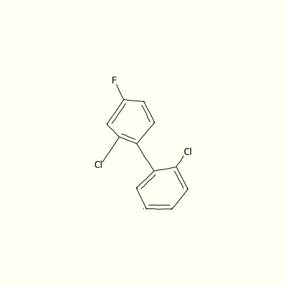 Fc1ccc(-c2c[c]ccc2Cl)c(Cl)c1